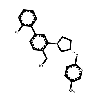 CCc1ccccc1-c1ccc(CO)c(N2CC[C@H](Oc3ccc(C(F)(F)F)cn3)C2)c1